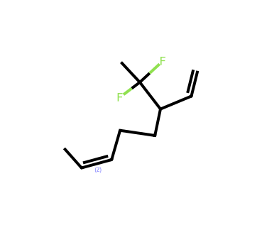 C=CC(CC/C=C\C)C(C)(F)F